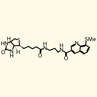 CSc1cccc2cc(C(=O)NCCCNC(=O)CCCC[C@@H]3SC[C@@H]4NC(=O)N[C@@H]43)cnc12